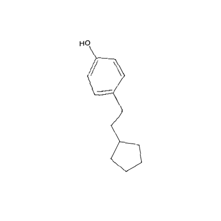 Oc1ccc(CCC2CCCC2)cc1